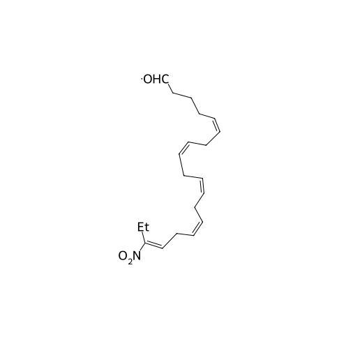 CC/C(=C\C/C=C\C/C=C\C/C=C\C/C=C\CCC[C]=O)[N+](=O)[O-]